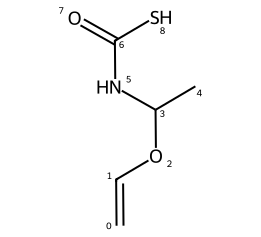 C=COC(C)NC(=O)S